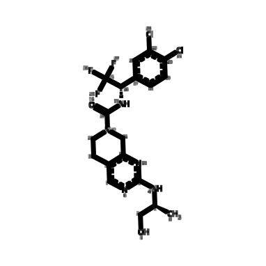 C[C@@H](CO)Nc1ncc2c(n1)CN(C(=O)N[C@@H](c1ccc(Cl)c(Cl)c1)C(F)(F)F)CC2